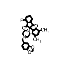 Cc1cc(C)cc(C2(N3CCN(Cc4ccc5c(c4)OCO5)CC3)C(=O)c3cccc(F)c3C2=O)c1